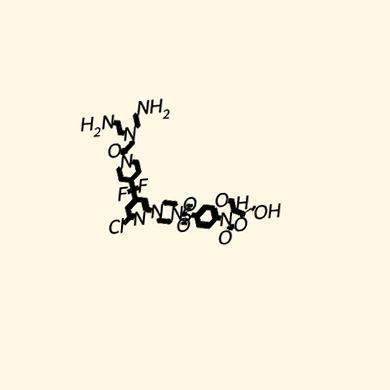 NCCN(CCN)CC(=O)N1CCC(C(F)(F)c2cc(Cl)nc(N3CCN(S(=O)(=O)c4ccc5c(c4)OC[C@@H]4[C@H](CO)OC(=O)N54)CC3)c2)CC1